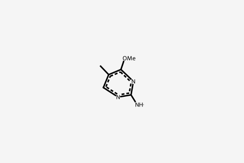 COc1nc([NH])ncc1C